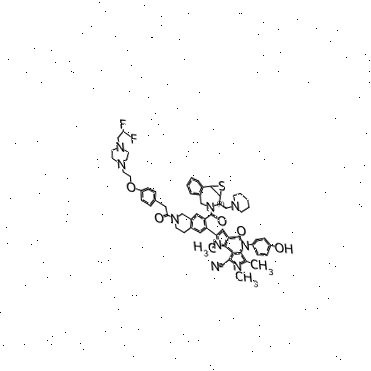 Cc1c2c(c(C#N)n1C)c1c(cc(-c3cc4c(cc3C(=O)N3Cc5ccccc5C5SC5[C@H]3CN3CCCCC3)CN(C(=O)Cc3ccc(OCCN5CCN(CC(F)F)CC5)cc3)CC4)n1C)c(=O)n2-c1ccc(O)cc1